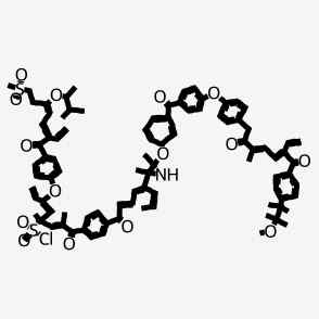 C=C/C(=C\C(C)(/C=C(\C)C(=O)c1ccc(C(=O)/C=C/C=C(\C=C/C)C2(C)NC2(C)OC2C=CC=C(C(=O)c3ccc(Oc4ccc(CC(=O)/C(C)=C/C=C(\C=C)C(=O)c5ccc(C(C)(C)C(C)(C)OC)cc5)cc4)cc3)C=C2)cc1)S(=O)(=O)Cl)Oc1ccc(C(=O)/C(C=C)=C/C=C(\CCS(C)(=O)=O)OC(C)C(C)C)cc1